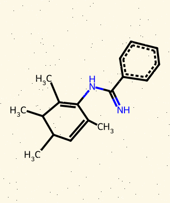 CC1=CC(C)C(C)C(C)=C1NC(=N)c1ccccc1